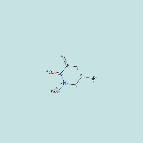 C=C(C)C(=O)N(CCCC)CCC(C)C